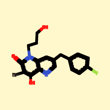 [CH2]Cc1c(O)c2ncc(Cc3ccc(F)cc3)cc2n(CCCO)c1=O